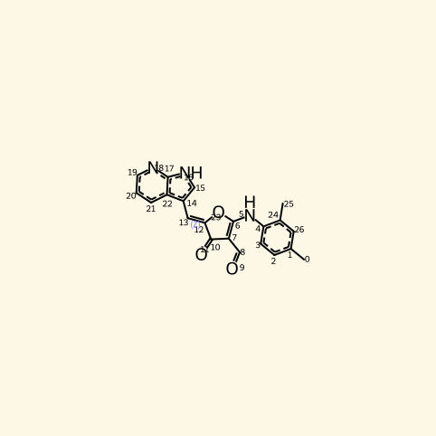 Cc1ccc(NC2=C(C=O)C(=O)/C(=C/c3c[nH]c4ncccc34)O2)c(C)c1